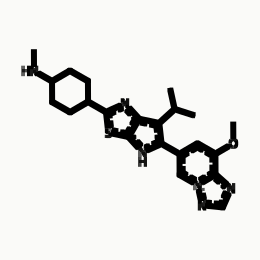 CNC1CCC(c2nc3c(C(C)C)c(-c4cc(OC)c5ncnn5c4)[nH]c3s2)CC1